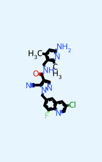 Cc1cc(N)nc(C)c1CNC(=O)c1cnn(Cc2cc(F)c3ncc(Cl)cc3c2)c1C#N